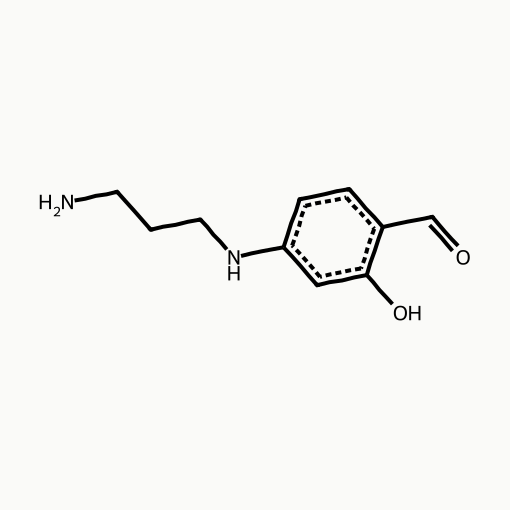 NCCCNc1ccc(C=O)c(O)c1